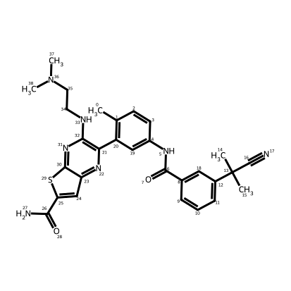 Cc1ccc(NC(=O)c2cccc(C(C)(C)C#N)c2)cc1-c1nc2cc(C(N)=O)sc2nc1NCCN(C)C